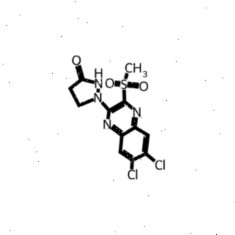 CS(=O)(=O)c1nc2cc(Cl)c(Cl)cc2nc1N1CCC(=O)N1